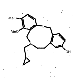 COc1ccc2c(c1OC)CN(CC1CC1)CCc1cc(O)ccc1CC2